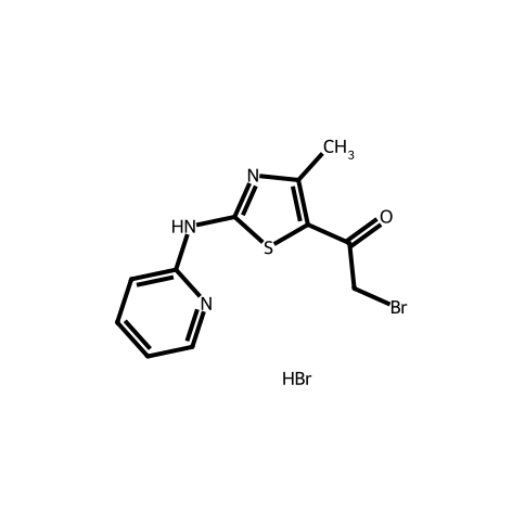 Br.Cc1nc(Nc2ccccn2)sc1C(=O)CBr